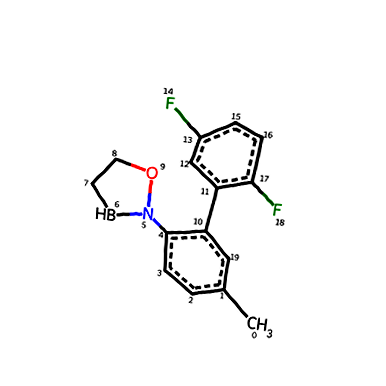 Cc1ccc(N2BCCO2)c(-c2cc(F)ccc2F)c1